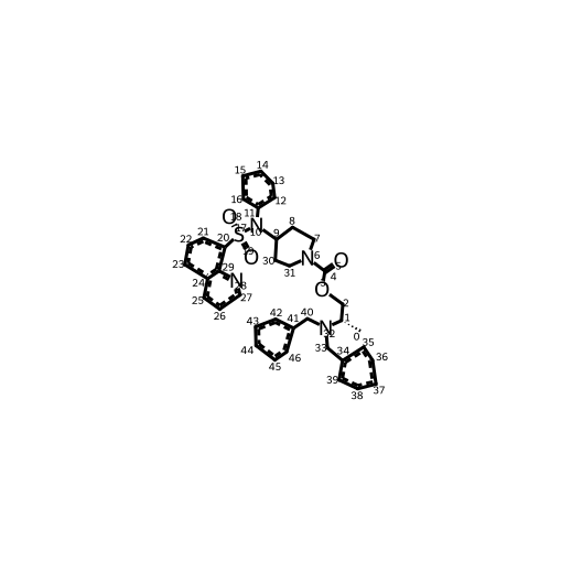 C[C@@H](COC(=O)N1CCC(N(c2ccccc2)S(=O)(=O)c2cccc3cccnc23)CC1)N(Cc1ccccc1)Cc1ccccc1